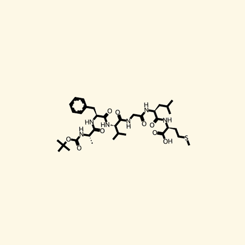 CSCC[C@H](NC(=O)[C@H](CC(C)C)NC(=O)CNC(=O)[C@@H](NC(=O)[C@H](Cc1ccccc1)NC(=O)[C@H](C)NC(=O)OC(C)(C)C)C(C)C)C(=O)O